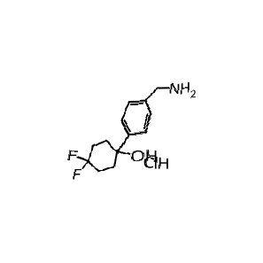 Cl.NCc1ccc(C2(O)CCC(F)(F)CC2)cc1